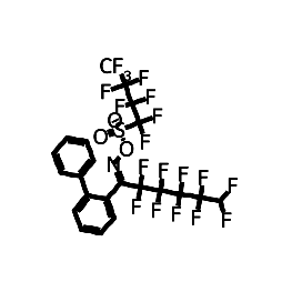 O=S(=O)(ON=C(c1ccccc1-c1ccccc1)C(F)(F)C(F)(F)C(F)(F)C(F)(F)C(F)F)C(F)(F)C(F)(F)C(F)(F)C(F)(F)F